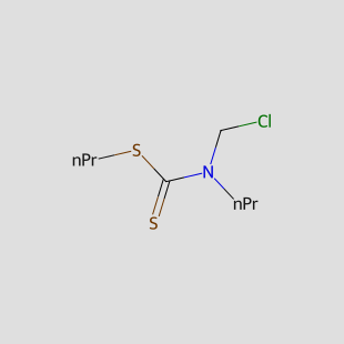 CCCSC(=S)N(CCl)CCC